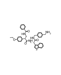 CCOc1ccc([C@@H](CNC(=O)c2ccccc2)C(=O)NC[C@H](C(=O)NCc2ccc(CN)cc2)c2csc3ccccc23)cc1